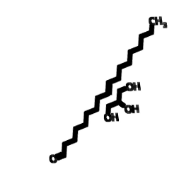 CCCCCCCCC=CCCCCCCCC=O.OCC(O)CO